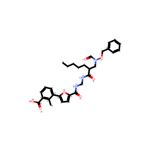 CCCCCC(CN(C=O)OCc1ccccc1)C(=O)NCNC(=O)c1ccc(-c2cccc(C(=O)O)c2C)o1